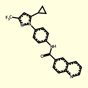 O=C(Nc1ccc(-n2nc(C(F)(F)F)cc2C2CC2)cc1)c1ccc2ncccc2c1